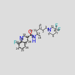 CC(CCN1CCCC(F)(F)C1)C[C@@H](C)NC(=O)c1cnc2c(F)cccc2c1